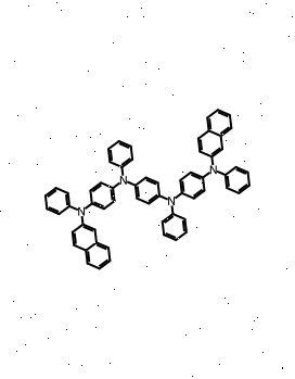 c1ccc(N(c2ccc(N(c3ccccc3)c3ccc(N(c4ccccc4)c4ccc5ccccc5c4)cc3)cc2)c2ccc(N(c3ccccc3)c3ccc4ccccc4c3)cc2)cc1